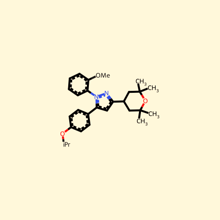 COc1ccccc1-n1nc(C2CC(C)(C)OC(C)(C)C2)cc1-c1ccc(OC(C)C)cc1